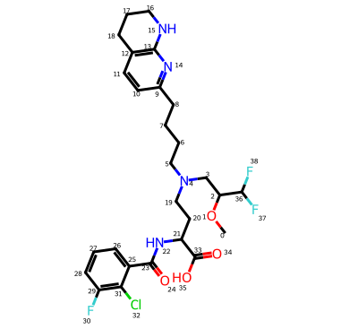 COC(CN(CCCCc1ccc2c(n1)NCCC2)CCC(NC(=O)c1cccc(F)c1Cl)C(=O)O)C(F)F